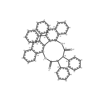 O=C1Oc2c(c(-c3ccccc3)cc3ccccc23)-c2c(-c3ccccc3)cc3ccccc3c2OC(=O)C(c2ccccc2)C1c1ccccc1